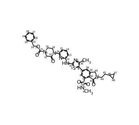 CNS(=O)(=O)c1cc(-c2sc(Nc3cccc(N4CCN(C(=O)OCc5ccccc5)CC4=O)n3)nc2C)cc2c1C(=O)N(CCC1CC1)C2